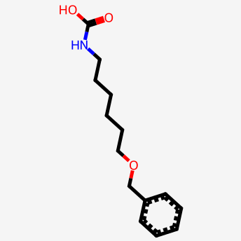 O=C(O)NCCCCCCOCc1ccccc1